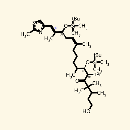 CCC[C@@H](C(=O)C(C)(C)C(C)CCO)[C@@H](O[Si](C)(C)C(C)(C)C)C(C)CCCC(C)=CC[C@H](O[Si](C)(C)C(C)(C)C)/C(C)=C/c1csc(C)n1